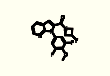 COc1c(F)cc(-n2c(C(=O)N3CC(F)C3)cc3cccnc32)cc1F